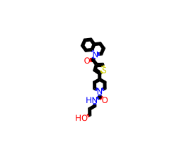 O=C(NCCCO)N1CCC(c2cc(C(=O)N3CCCC4CCCCC43)cs2)CC1